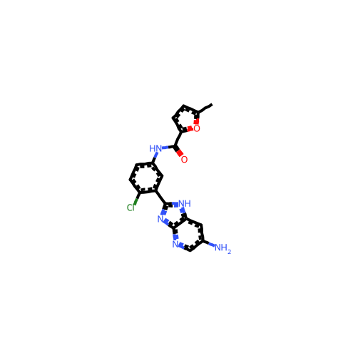 Cc1ccc(C(=O)Nc2ccc(Cl)c(-c3nc4ncc(N)cc4[nH]3)c2)o1